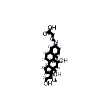 CC12CC/C(=N/OCC(=O)O)C=C1CCC1C2C(O)CC2(C)C1CCC2(O)C(=O)CO